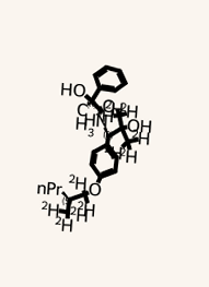 [2H]C([2H])([2H])[C@@H](CCC)C([2H])([2H])Oc1ccc([C@@H](NC(=O)[C@](C)(O)c2ccccc2)C(O)(C([2H])([2H])[2H])C([2H])([2H])[2H])cc1